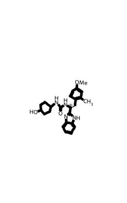 COc1ccc(C[C@@H](NC(=O)NC2CCC(O)CC2)c2nc3ccccc3[nH]2)c(C)c1